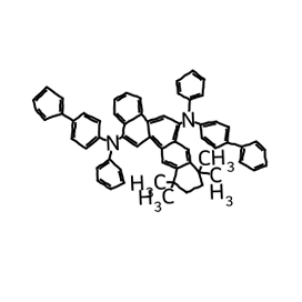 CC1(C)CCC(C)(C)c2cc3c(cc21)c(N(c1ccccc1)c1ccc(-c2ccccc2)cc1)cc1c2ccccc2c(N(c2ccccc2)c2ccc(-c4ccccc4)cc2)cc31